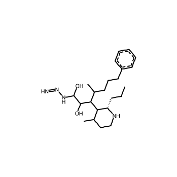 CCC[C@@H]1NCCC(C)C1C(C(C)CCCc1ccccc1)C(O)C(O)NN=N